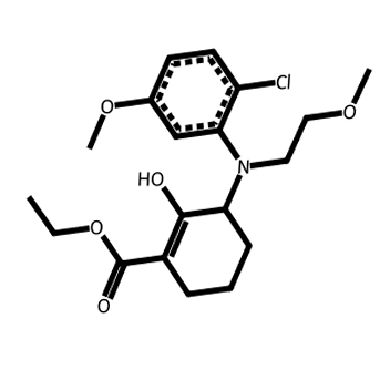 CCOC(=O)C1=C(O)C(N(CCOC)c2cc(OC)ccc2Cl)CCC1